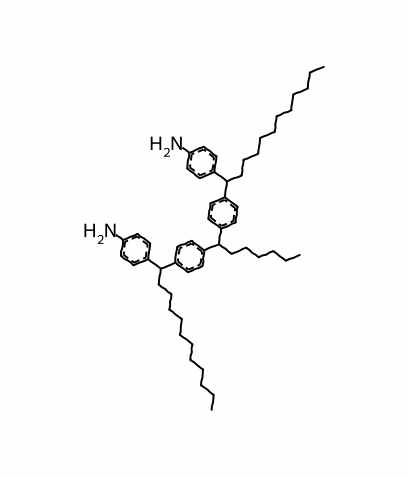 CCCCCCCCCCCC(c1ccc(N)cc1)c1ccc(C(CCCCCC)c2ccc(C(CCCCCCCCCCC)c3ccc(N)cc3)cc2)cc1